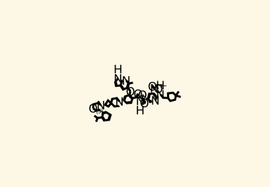 Cc1nc2[nH]ccc2cc1Oc1cc(N2CCC3(CC2)CC(N2CCOC[C@@H]2c2ccccc2C(C)C)C3)ccc1C(=O)NS(=O)(=O)c1cnc(NCC2CCC(C)(C)CC2)c([N+](=O)[O-])c1